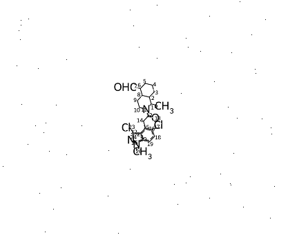 CC1C2CCCC(C=O)C2CCN1C(=O)Cc1c(Cl)ccc2c1c(Cl)nn2C